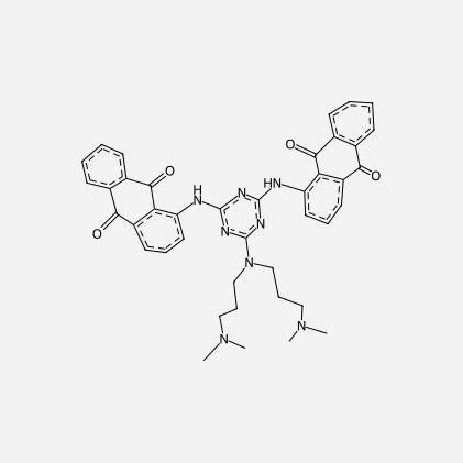 CN(C)CCCN(CCCN(C)C)c1nc(Nc2cccc3c2C(=O)c2ccccc2C3=O)nc(Nc2cccc3c2C(=O)c2ccccc2C3=O)n1